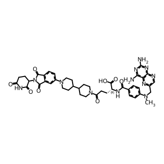 CN(Cc1cnc2nc(N)nc(N)c2n1)c1ccc(C(=O)N[C@H](CCC(=O)N2CCC(C3CCN(c4ccc5c(c4)C(=O)N(C4CCC(=O)NC4=O)C5=O)CC3)CC2)C(=O)O)cc1